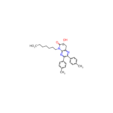 Cc1ccc(-c2nc3c(nc2-c2ccc(C)cc2)N(CCCCCCC(=O)O)C(=O)[C@H](O)C3)cc1